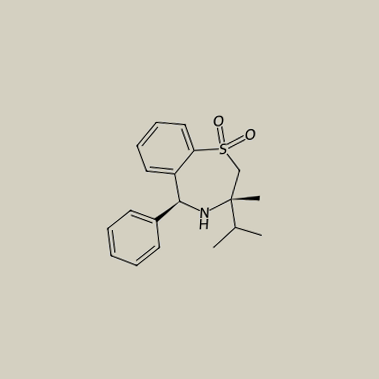 CC(C)[C@@]1(C)CS(=O)(=O)c2ccccc2[C@H](c2ccccc2)N1